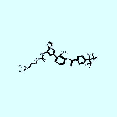 Cc1c(NC(=O)c2ccc(C(O)(C(F)(F)F)C(F)(F)F)cc2)cccc1-c1cc(NC(=O)NCCCN(C)C)c2nccn2c1